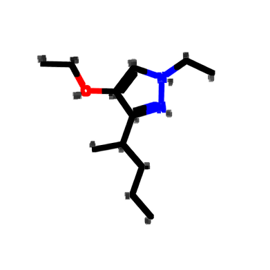 CCCC(C)c1nn(CC)cc1OCC